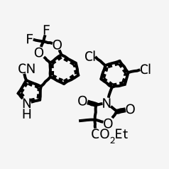 CCOC(=O)C1(C)OC(=O)N(c2cc(Cl)cc(Cl)c2)C1=O.N#Cc1c[nH]cc1-c1cccc2c1OC(F)(F)O2